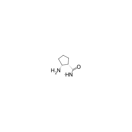 [NH]C(=O)[C@H]1CCC[C@H]1N